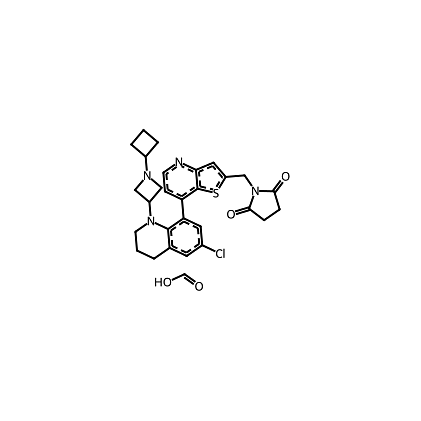 O=C1CCC(=O)N1Cc1cc2nccc(-c3cc(Cl)cc4c3N(C3CN(C5CCC5)C3)CCC4)c2s1.O=CO